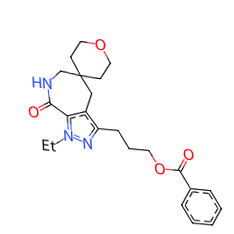 CCn1nc(CCCOC(=O)c2ccccc2)c2c1C(=O)NCC1(CCOCC1)C2